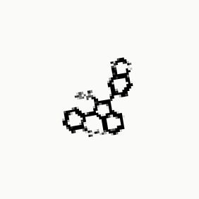 COc1ccccc1C1c2ccccc2C(c2ccc3c(c2)OCO3)C1C(=O)O